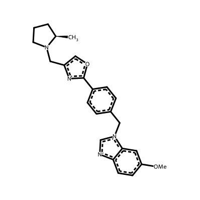 COc1ccc2ncn(Cc3ccc(-c4nc(CN5CCC[C@H]5C)co4)cc3)c2c1